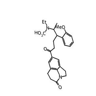 CCN(C(=O)O)C(C)C(CCC(=O)c1cc2c3c(c1)CCN3C(=O)CC2)c1ccccc1OC